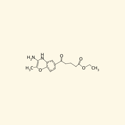 CCOC(=O)CCCC(=O)c1ccc2c(c1)NC(N)=C(C)O2